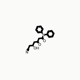 N#CC[C@@H](O)CC(=O)CC(=O)N(c1ccccc1)c1ccccc1